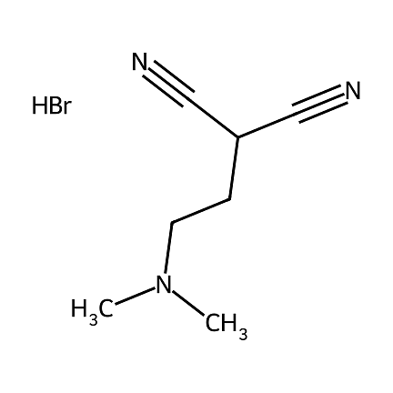 Br.CN(C)CCC(C#N)C#N